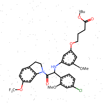 COc1cc(NC(C(=O)N2CCc3ccc(OC(F)(F)F)cc32)c2ccc(Cl)cc2OC)cc(OCCCC(=O)OC(C)(C)C)c1